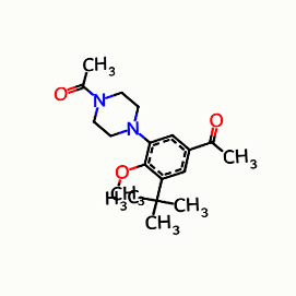 COc1c(N2CCN(C(C)=O)CC2)cc(C(C)=O)cc1C(C)(C)C